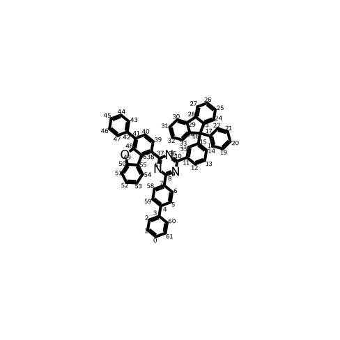 c1ccc(-c2ccc(-c3nc(-c4cccc(C5(c6ccccc6)c6ccccc6-c6ccccc65)c4)nc(-c4ccc(-c5ccccc5)c5oc6ccccc6c45)n3)cc2)cc1